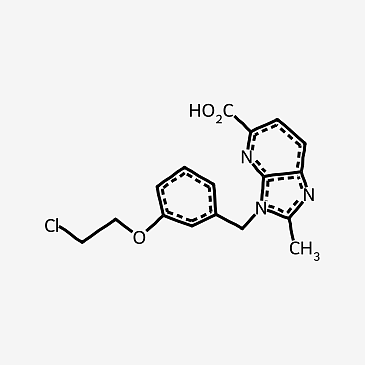 Cc1nc2ccc(C(=O)O)nc2n1Cc1cccc(OCCCl)c1